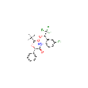 CC(C)(C)C(=O)OC(C(=O)Nc1ccc(Cl)cc1C(=O)C(F)(F)F)c1ccccc1